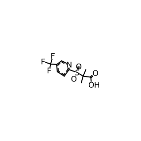 CC(C)(C(=O)O)S(=O)(=O)c1ccc(C(F)(F)F)cn1